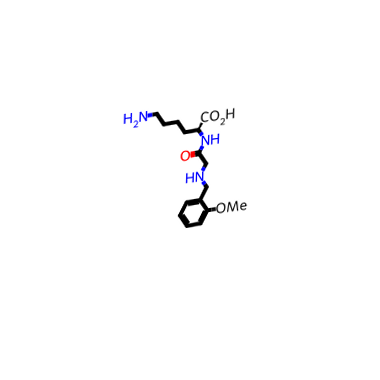 COc1ccccc1CNCC(=O)N[C@@H](CCCCN)C(=O)O